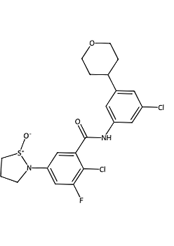 O=C(Nc1cc(Cl)cc(C2CCOCC2)c1)c1cc(N2CCC[S+]2[O-])cc(F)c1Cl